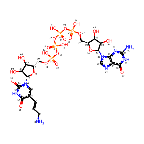 NC/C=C/c1cn([C@H]2O[C@@H](COP(=O)(O)OP(=O)(O)OP(=O)(O)OP(=O)(O)OC[C@@H]3O[C@H](n4cnc5c(=O)[nH]c(N)nc54)C(O)C3O)C(O)C2O)c(=O)[nH]c1=O